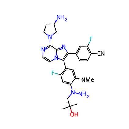 CNc1cc(-c2c(-c3ccc(C#N)c(F)c3)nc3c(N4CC[C@@H](N)C4)nccn23)c(F)cc1N(N)CC(C)(C)O